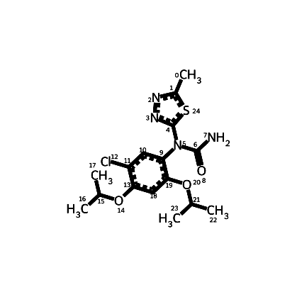 Cc1nnc(N(C(N)=O)c2cc(Cl)c(OC(C)C)cc2OC(C)C)s1